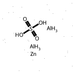 O=S(=O)(O)O.[AlH3].[AlH3].[Zn]